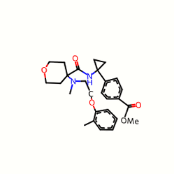 COC(=O)c1ccc(C2(NC(=O)C3(N(C)CCOc4ccccc4C)CCOCC3)CC2)cc1